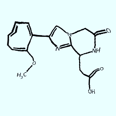 COc1ccccc1-c1cn2c(n1)C(CC(=O)O)NC(=O)C2